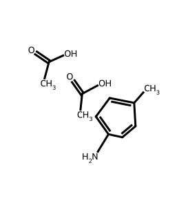 CC(=O)O.CC(=O)O.Cc1ccc(N)cc1